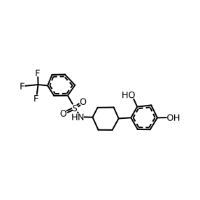 O=S(=O)(NC1CCC(c2ccc(O)cc2O)CC1)c1cccc(C(F)(F)F)c1